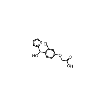 O=C(O)COc1ccc(C(O)c2cccs2)c(Cl)c1